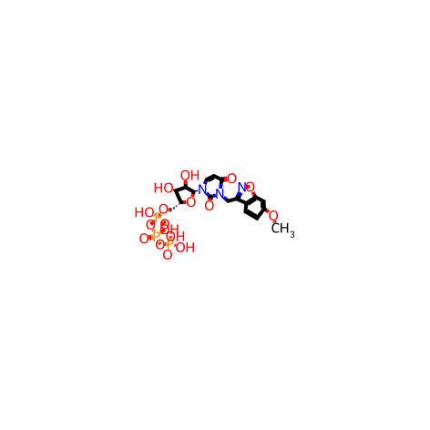 COc1ccc2c(Cn3c(=O)ccn([C@@H]4O[C@H](COP(=O)(O)OP(=O)(O)OP(=O)(O)O)[C@H](O)C4O)c3=O)noc2c1